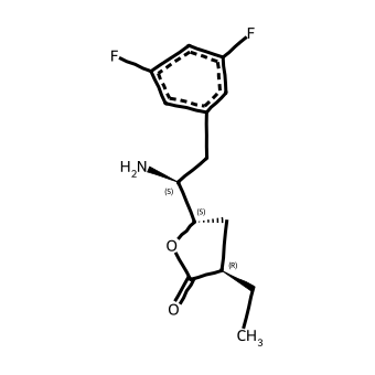 CC[C@@H]1C[C@@H]([C@@H](N)Cc2cc(F)cc(F)c2)OC1=O